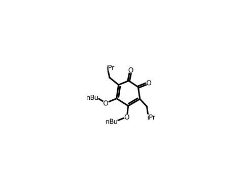 CCCCOC1=C(CC(C)C)C(=O)C(=O)C(CC(C)C)=C1OCCCC